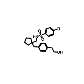 O=S(=O)(NCC1(Cc2ccc(CCO)cc2)CCCC1)c1ccc(Cl)cc1